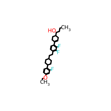 CCCC(O)C1CC=C(c2ccc(CCC3CCC(c4ccc(OCC)cc4F)CC3)c(F)c2F)CC1